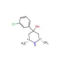 C[C@@H]1CC(O)(c2cccc(Cl)c2)C[C@H](C)N1